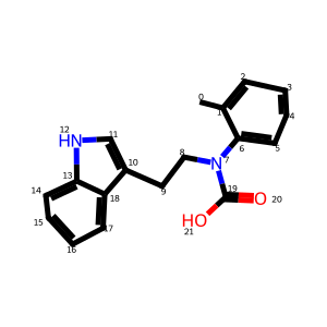 Cc1ccccc1N(CCc1c[nH]c2ccccc12)C(=O)O